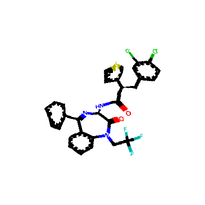 O=C(N[C@H]1N=C(c2ccccc2)c2ccccc2N(CC(F)(F)F)C1=O)[C@H](Cc1ccc(Cl)c(Cl)c1)c1ccsc1